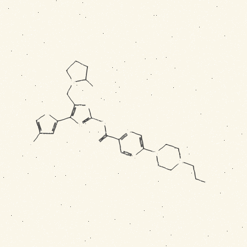 CC1CCCN1Cc1sc(NC(=O)c2cnc(N3CCN(CCC=O)CC3)cn2)nc1-c1cc(Br)cs1